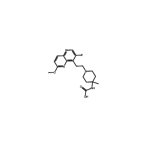 COc1ccc2ncc(F)c(CCN3CCC(C)(NC(=O)O)CC3)c2n1